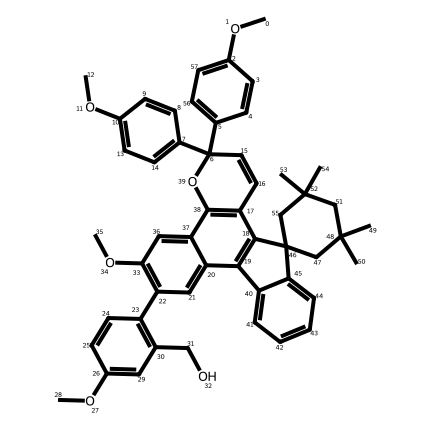 COc1ccc(C2(c3ccc(OC)cc3)C=Cc3c4c(c5cc(-c6ccc(OC)cc6CO)c(OC)cc5c3O2)-c2ccccc2C42CC(C)(C)CC(C)(C)C2)cc1